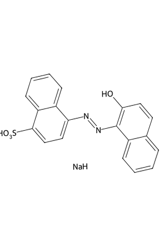 O=S(=O)(O)c1ccc(N=Nc2c(O)ccc3ccccc23)c2ccccc12.[NaH]